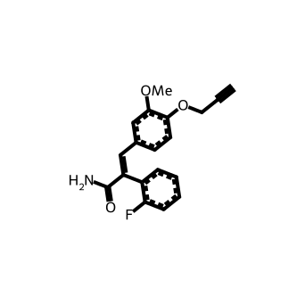 C#CCOc1ccc(/C=C(/C(N)=O)c2ccccc2F)cc1OC